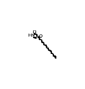 CCCCCCCCCCCCCCCC(=O)N1CCNC(=O)C1